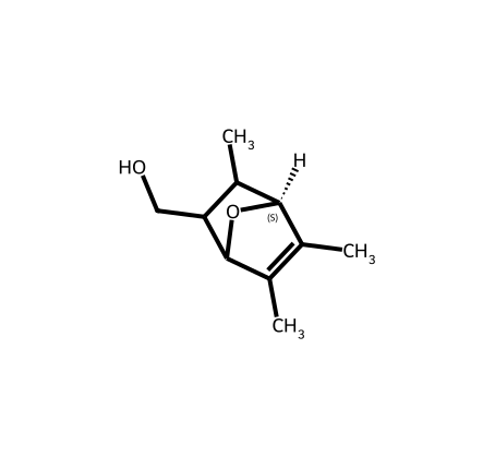 CC1=C(C)[C@H]2OC1C(CO)C2C